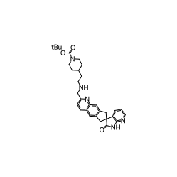 CC(C)(C)OC(=O)N1CCC(CCNCc2ccc3cc4c(cc3n2)CC2(C4)C(=O)Nc3ncccc32)CC1